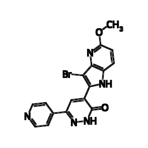 COc1ccc2[nH]c(-c3cc(-c4ccncc4)n[nH]c3=O)c(Br)c2n1